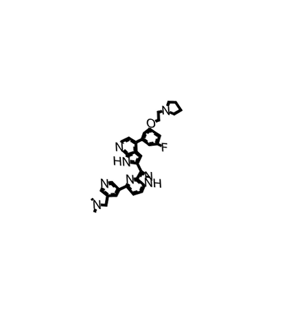 CN(C)Cc1cncc(-c2ccc3[nH]nc(-c4cc5c(-c6cc(F)cc(OCCN7CCCC7)c6)ccnc5[nH]4)c3n2)c1